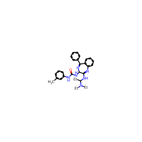 CCC(NC1=Nc2ccccc2C(c2ccccc2)=NC1NC(=O)Nc1cccc(C)c1)N(CC)CC